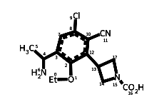 CCOc1c(C(C)N)cc(Cl)c(C#N)c1C1CN(C(=O)O)C1